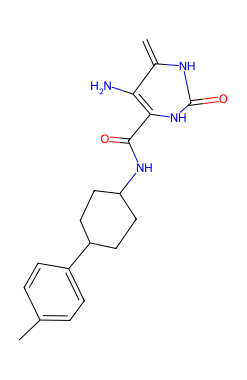 C=C1NC(=O)NC(C(=O)NC2CCC(c3ccc(C)cc3)CC2)=C1N